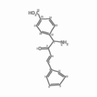 NC(C(=O)C=Cc1ccccc1)c1ccc(C(=O)O)cc1